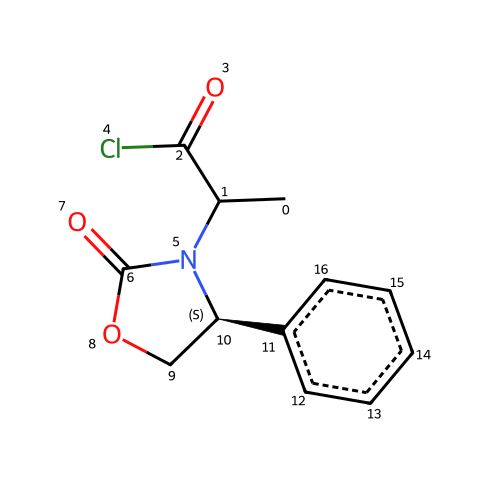 CC(C(=O)Cl)N1C(=O)OC[C@@H]1c1ccccc1